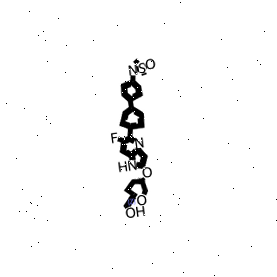 CS(C)(=O)=Nc1ccc(-c2ccc(-c3nc4cc(O[C@@H]5CC/C(=C/O)OC5)[nH]c4cc3F)cc2)cc1